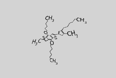 CCCCCCOc1c2cc(C3=CC(CCCCCC)=C(C)C3)sc2c(OCCCCCC)c2cc(C)sc12